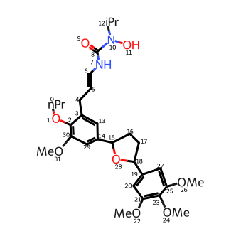 CCCOc1c(CC=CNC(=O)N(O)C(C)C)cc(C2CCC(c3cc(OC)c(OC)c(OC)c3)O2)cc1OC